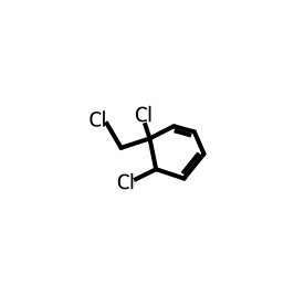 ClCC1(Cl)C=CC=CC1Cl